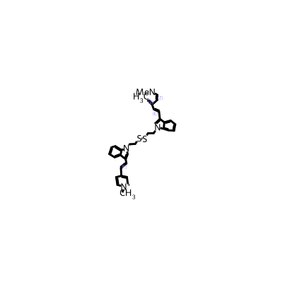 C/C=C(\C=C/NC)/C=C/c1cn(CCSSCCn2cc(/C=C/c3cc[n+](C)cc3)c3ccccc32)c2ccccc12